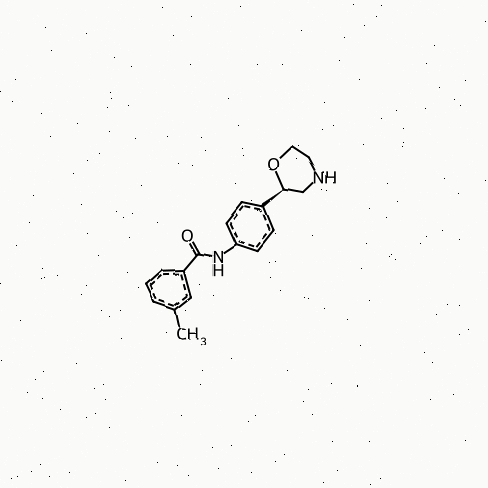 Cc1cccc(C(=O)Nc2ccc([C@@H]3CNCCO3)cc2)c1